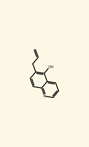 C=CCc1ccc2ncccc2c1O